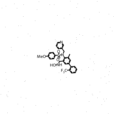 COc1ccc(S(=O)(=O)N(Cc2cccnc2)c2c(C)cc(-c3ccccc3C(F)(F)F)cc2C(=O)NO)cc1